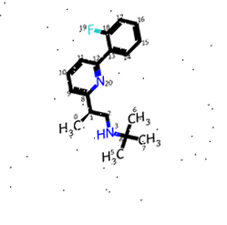 C[C@H](CNC(C)(C)C)c1cccc(-c2ccccc2F)n1